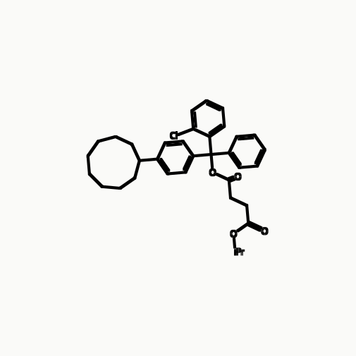 CC(C)OC(=O)CCC(=O)OC(c1ccccc1)(c1ccc(C2CCCCCCCC2)cc1)c1ccccc1Cl